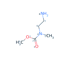 COC(=O)N(C)CCN